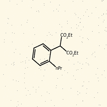 CCCc1ccccc1C(C(=O)OCC)C(=O)OCC